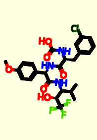 COc1ccc([C@H](NC(=O)[C@H](Cc2cccc(Cl)c2)NC(=O)O)C(=O)N[C@@H](C(C)C)[C@H](O)C(F)(F)F)cc1